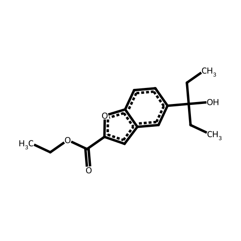 CCOC(=O)c1cc2cc(C(O)(CC)CC)ccc2o1